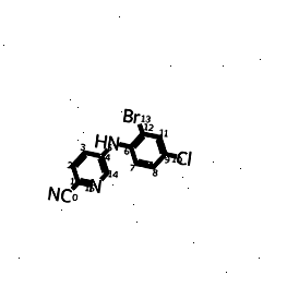 N#Cc1ccc(Nc2ccc(Cl)cc2Br)cn1